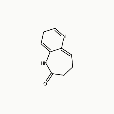 O=C1CCC=C2N=CCC=C2N1